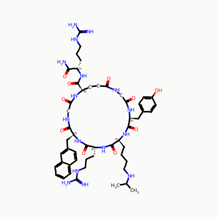 CC(C)NCCCC[C@@H]1NC(=O)[C@H](Cc2ccc(O)cc2)NC(=O)CNC(=O)CC[C@H](C(=O)N[C@@H](CCCNC(=N)N)C(N)=O)NC(=O)CNC(=O)[C@H](Cc2ccc3ccccc3c2)NC(=O)[C@@H](CCCNC(=N)N)NC1=O